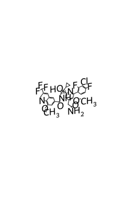 CCOc1c(CC(N)=O)cc([C@@](O)(CNC(=O)c2cc(OC)c3ncc(C(F)(F)F)cc3c2)C2CC2)nc1-c1ccc(F)c(Cl)c1F